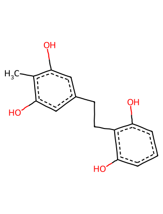 Cc1c(O)cc(CCc2c(O)cccc2O)cc1O